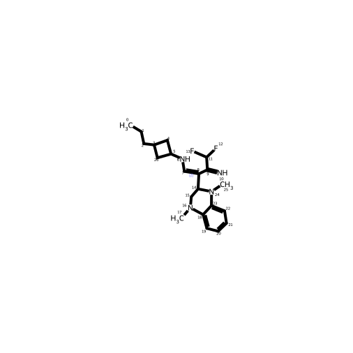 CCCC1CC(N/C=C(\C(=N)C(F)F)C2CN(C)c3ccccc3N2C)C1